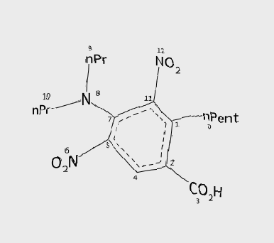 CCCCCc1c(C(=O)O)cc([N+](=O)[O-])c(N(CCC)CCC)c1[N+](=O)[O-]